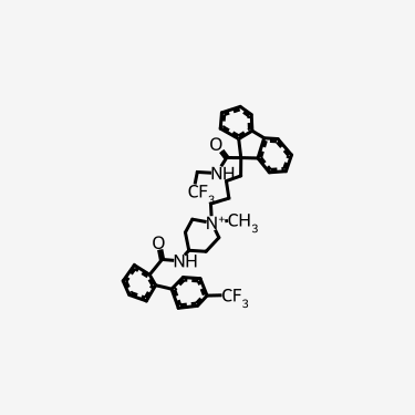 C[N+]1(CCCCC2(C(=O)NCC(F)(F)F)c3ccccc3-c3ccccc32)CCC(NC(=O)c2ccccc2-c2ccc(C(F)(F)F)cc2)CC1